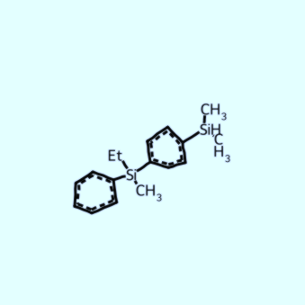 CC[Si](C)(c1ccccc1)c1ccc([SiH](C)C)cc1